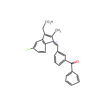 CC1=C(CC(=O)O)c2cc(F)ccc2/C1=C\c1cccc(C(=O)c2ccccc2)c1